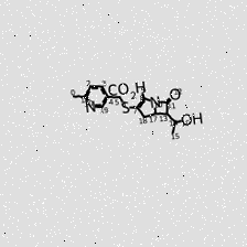 Cc1ccc(CSC2=C(C(=O)O)N3C(=O)C(C(C)O)C3C2)cn1